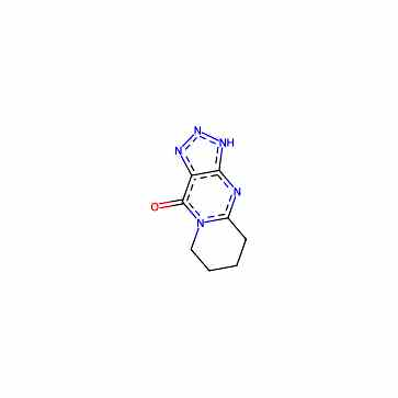 O=c1c2nn[nH]c2nc2n1CCCC2